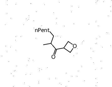 CCCCCCC(C)C(=O)C1COC1